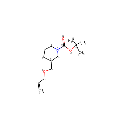 C=CCOC[C@H]1CCCN(C(=O)OC(C)(C)C)C1